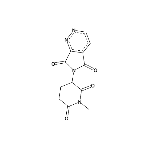 CN1C(=O)CCC(N2C(=O)c3ccnnc3C2=O)C1=O